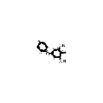 N#Cc1cc(Oc2ccccc2)cc(C#N)c1F